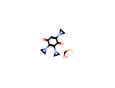 O=C1C=C(N2CC2)C(=O)C(N2CC2)=C1N1CC1.OCP